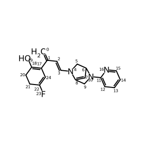 C=C(/C=C/N1CC2C=C1CN2c1ccccn1)C1=C(O)CCC(F)=C1